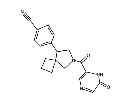 N#Cc1ccc(C2CN(C(=O)c3cncc(=O)[nH]3)CC23CCC3)cc1